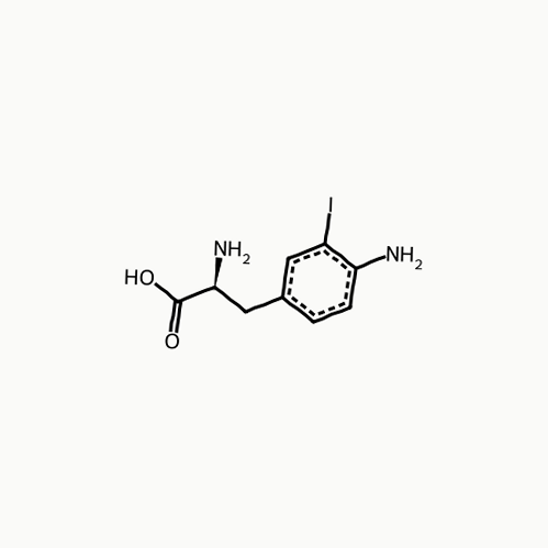 Nc1ccc(C[C@H](N)C(=O)O)cc1I